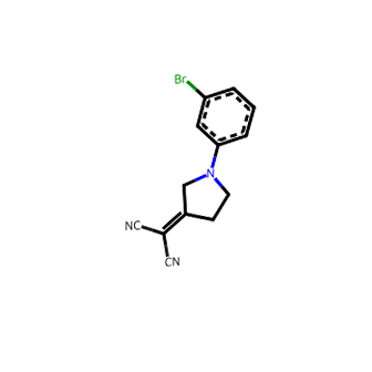 N#CC(C#N)=C1CCN(c2cccc(Br)c2)C1